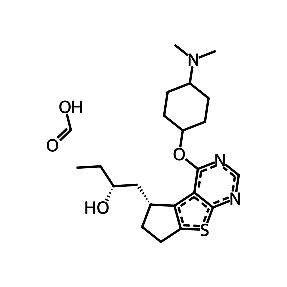 CC[C@@H](O)C[C@H]1CCc2sc3ncnc(OC4CCC(N(C)C)CC4)c3c21.O=CO